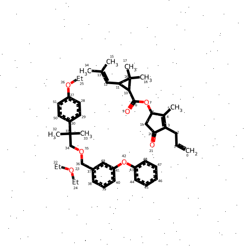 C=CCC1=C(C)C(OC(=O)C2C(C=C(C)C)C2(C)C)CC1=O.CCOCC.CCOc1ccc(C(C)(C)COCc2cccc(Oc3ccccc3)c2)cc1